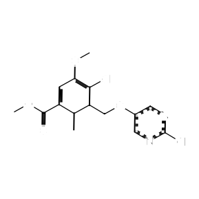 COC(=O)C1=CC(OC)=C(Cl)C(COc2cnc(Cl)nc2)C1C